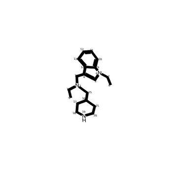 CCN(Cc1cn(CC)c2ccccc12)CC1CCNCC1